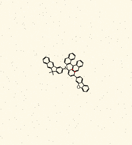 CC1(C)c2ccc(N(c3ccc(-c4ccc5c(c4)oc4ccccc45)cc3)c3ccc4ccccc4c3-c3cccc4ccccc34)cc2-c2cc3ccccc3cc21